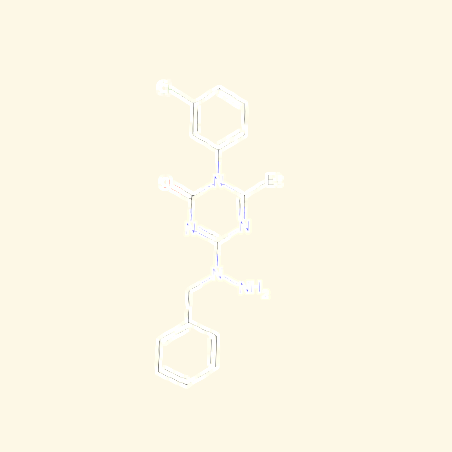 CCc1nc(N(N)Cc2ccccc2)nc(=O)n1-c1cccc(Cl)c1